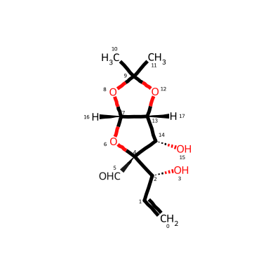 C=C[C@@H](O)[C@]1(C=O)O[C@@H]2OC(C)(C)O[C@@H]2[C@@H]1O